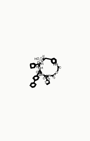 O=C1COCC(=O)N[C@H](CC2CC=CS2)C(=O)N[C@@H](Cc2ccc(-c3ccccc3)cc2)C(=O)N[C@H](Cc2ccccc2)C(=O)N[C@H](C(=O)O)Cc2ccc(cc2)N1